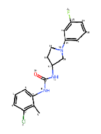 Cc1c(Cl)cccc1NC(=O)NC1CCN(c2cccc(F)c2)C1